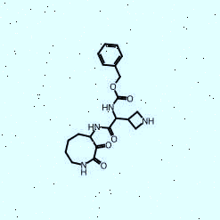 O=C(NC(C(=O)NC1CCCCNC(=O)C1=O)C1CNC1)OCc1ccccc1